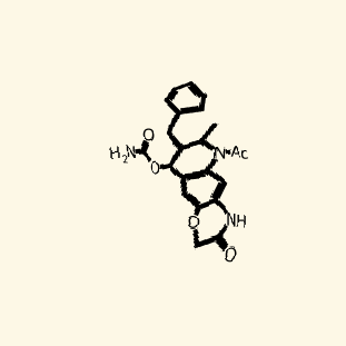 CC(=O)N1c2cc3c(cc2C(OC(N)=O)C(Cc2ccccc2)C1C)OCC(=O)N3